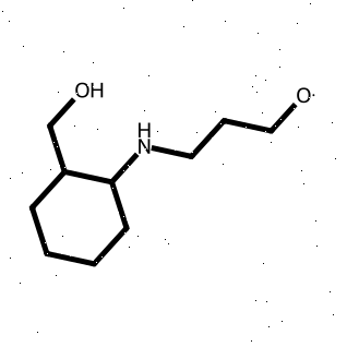 [O]CCCNC1CCCCC1CO